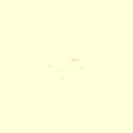 CN(C)c1cncn1C